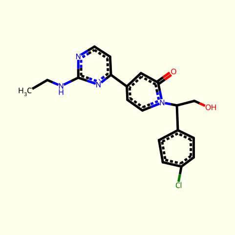 CCNc1nccc(-c2ccn(C(CO)c3ccc(Cl)cc3)c(=O)c2)n1